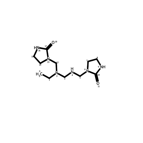 CCN(CNCN1CCNC1=O)CN1CCNC1=O